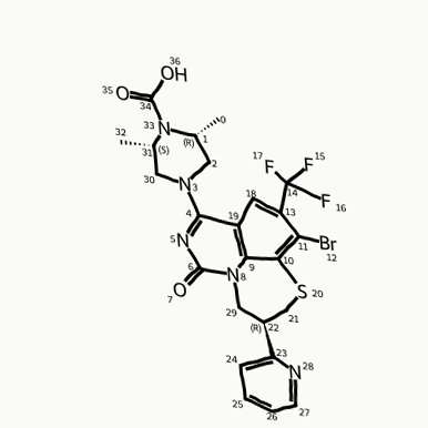 C[C@@H]1CN(c2nc(=O)n3c4c(c(Br)c(C(F)(F)F)cc24)SC[C@@H](c2ccccn2)C3)C[C@H](C)N1C(=O)O